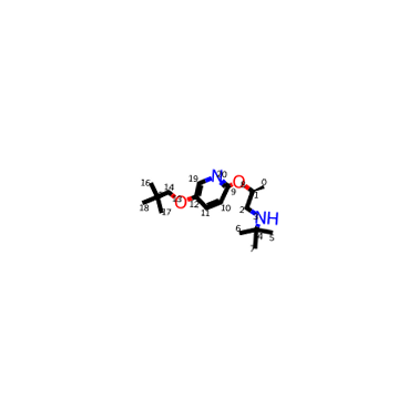 C[C@@H](CNC(C)(C)C)Oc1ccc(OCC(C)(C)C)cn1